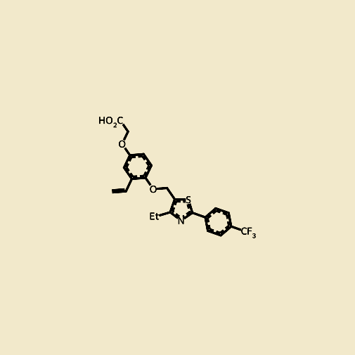 C=Cc1cc(OCC(=O)O)ccc1OCc1sc(-c2ccc(C(F)(F)F)cc2)nc1CC